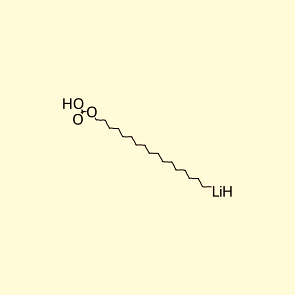 CCCCCCCCCCCCCCCCCCOC(=O)O.[LiH]